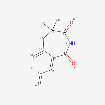 C=C/C=C1/C(=O)NC(=O)C(C)(C)C/C1=C/C